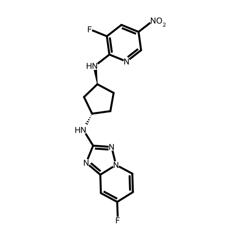 O=[N+]([O-])c1cnc(N[C@H]2CC[C@H](Nc3nc4cc(F)ccn4n3)C2)c(F)c1